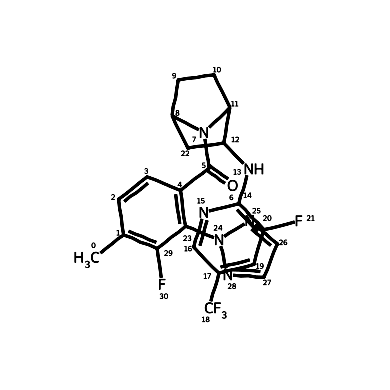 Cc1ccc(C(=O)N2C3CCC2C(Nc2ncc(C(F)(F)F)cc2F)C3)c(-n2nccn2)c1F